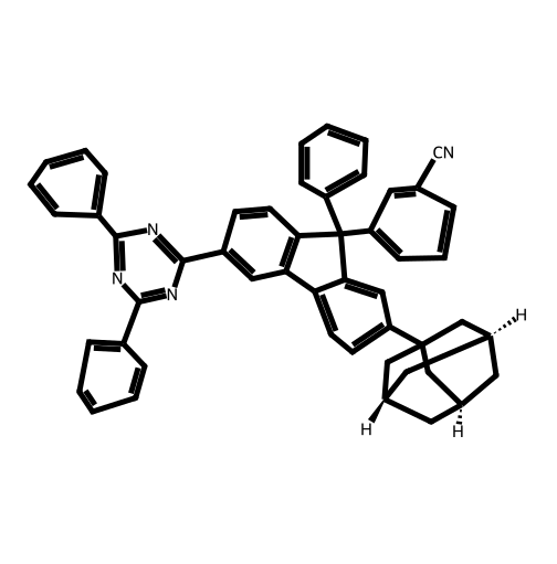 N#Cc1cccc(C2(c3ccccc3)c3ccc(-c4nc(-c5ccccc5)nc(-c5ccccc5)n4)cc3-c3ccc(C45C[C@H]6C[C@H](C4)C[C@@H](C5)C6)cc32)c1